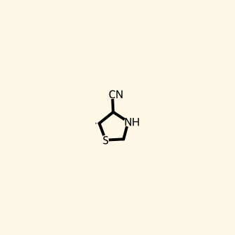 N#CC1[CH]SCN1